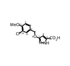 COc1ccc(COc2cc(C(=O)O)[nH]n2)cc1Cl